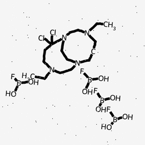 CCN1CCCN2CCN(CC)CCC(Cl)(Cl)N(CC1)CC2.OB(O)F.OB(O)F.OB(O)F.OB(O)F